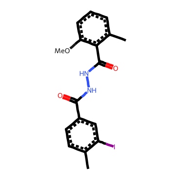 COc1cccc(C)c1C(=O)NNC(=O)c1ccc(C)c(I)c1